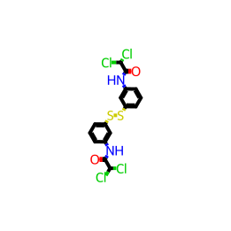 O=C(Nc1cccc(SSc2cccc(NC(=O)C(Cl)Cl)c2)c1)C(Cl)Cl